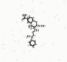 CO[C@@H]1Cc2ccc(C(N)=O)cc2C(C)(C)[C@H]1NCC[C@@H](N)c1ccccc1